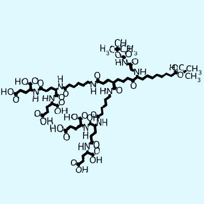 CC(C)(C)OC(=O)CCCCCCCC(NCC(=O)NC(=O)OC(C)(C)C)C(=O)CCCC(CCC(=O)NCCCCCC(=O)NC(CCC(=O)NC(CCC(=O)O)C(=O)O)C(=O)NC(CCC(=O)O)C(=O)O)C(=O)NCCCCCC(=O)NC(CCC(=O)NC(CCC(=O)O)C(=O)O)C(O)NC(CCC(=O)O)C(=O)O